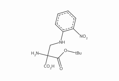 CC(C)(C)OC(=O)C(N)(CNc1ccccc1[N+](=O)[O-])C(=O)O